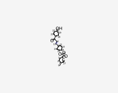 Cc1ccc(S(=O)(=O)Oc2ccc(/C=C/C(=O)c3ccc(O)cc3)cc2)cc1